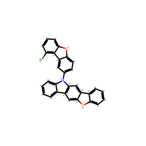 Brc1cccc2oc3ccc(-n4c5ccccc5c5cc6oc7ccccc7c6cc54)cc3c12